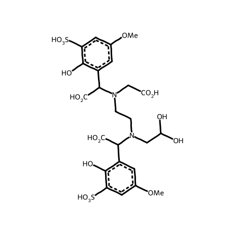 COc1cc(C(C(=O)O)N(CCN(CC(O)O)C(C(=O)O)c2cc(OC)cc(S(=O)(=O)O)c2O)CC(=O)O)c(O)c(S(=O)(=O)O)c1